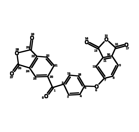 O=C(c1ccc(Oc2ccc3c(c2)C(=O)OC3=O)cc1)c1ccc2c(c1)C(=O)OC2=O